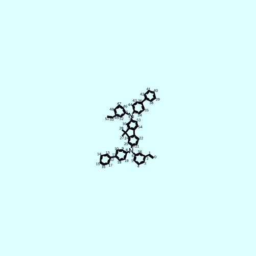 C=Cc1cccc(N(c2ccc(-c3ccccc3)cc2)c2ccc3c(c2)C(C)(C)c2cc(N(c4ccc(-c5ccccc5)cc4)c4cccc(C=C)c4)ccc2-3)c1